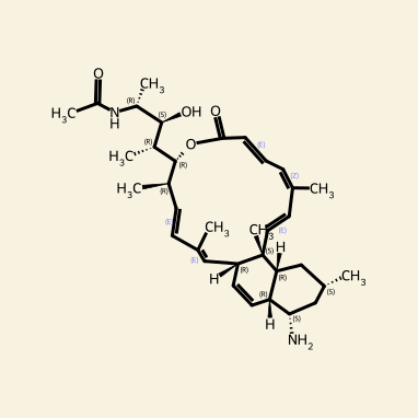 CC(=O)N[C@H](C)[C@@H](O)[C@@H](C)[C@@H]1OC(=O)/C=C/C=C(C)\C=C\[C@@]2(C)[C@H](C=C[C@@H]3[C@H]2C[C@H](C)C[C@@H]3N)/C=C(C)/C=C/[C@H]1C